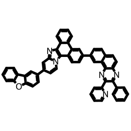 c1ccc(-c2nc3ccc4ccc(-c5ccc6c(c5)c5ccccc5c5nc7cc(-c8ccc9oc%10ccccc%10c9c8)ccn7c65)cc4c3nc2-c2ccccn2)cc1